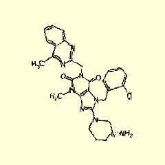 Cc1nc(Cn2c(=O)c3c(nc(N4CCC[C@@H](N)C4)n3Cc3ccccc3Cl)n(C)c2=O)nc2ccccc12